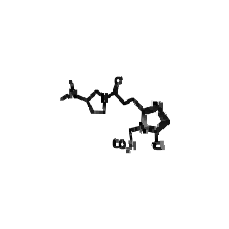 CN(C)C1CCN(C(=O)CCc2ncc(Cl)n2CC(=O)O)C1